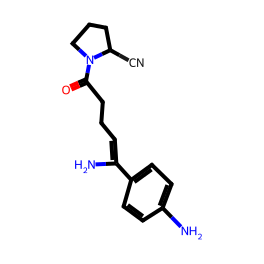 N#CC1CCCN1C(=O)CCC=C(N)c1ccc(N)cc1